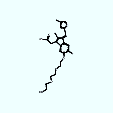 CC1=C(CC(=O)O)c2cc(OCCOCCOCCO)c(F)cc2C1=Cc1cc(C)cs1